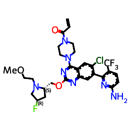 C=CC(=O)N1CCN(c2nc(OC[C@@H]3C[C@@H](F)CN3CCOC)nc3cc(-c4nc(N)ccc4C(F)(F)F)c(Cl)cc23)CC1